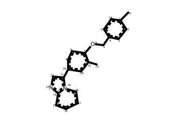 Cc1ccc(COc2ccc(-c3cnc4ccccn34)cc2C)cc1